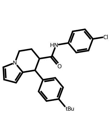 CC(C)(C)c1ccc(C2c3cccn3CCC2C(=O)Nc2ccc(Cl)cc2)cc1